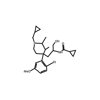 CCc1ccc(OC)cc1C1(CC(CO)NC(=O)C2CC2)CCN(CC2CC2)C(C)C1C